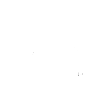 COc1ccccc1C(=O)c1ccccc1N